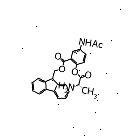 CC(=O)Nc1ccc(OC(=O)[C@H](C)N)c(C(=O)OCC2c3ccccc3-c3ccccc32)c1